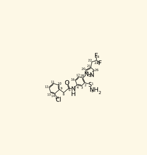 NSc1cc(NC(=O)Cc2ccccc2Cl)ccc1-n1cc(CC(F)F)cn1